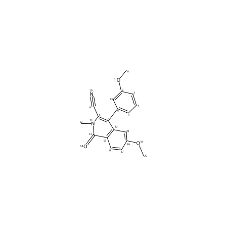 COc1cccc(-c2c(C#N)n(C)c(=O)c3ccc(OC)cc23)c1